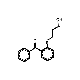 O=C(c1ccccc1)c1ccccc1OCC[CH]O